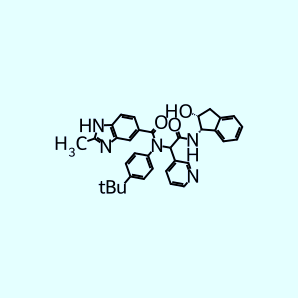 Cc1nc2cc(C(=O)N(c3ccc(C(C)(C)C)cc3)C(C(=O)N[C@H]3c4ccccc4C[C@H]3O)c3cccnc3)ccc2[nH]1